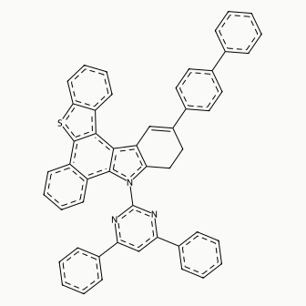 C1=C(c2ccc(-c3ccccc3)cc2)CCc2c1c1c3c4ccccc4sc3c3ccccc3c1n2-c1nc(-c2ccccc2)cc(-c2ccccc2)n1